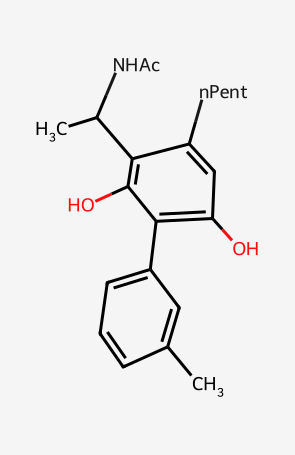 CCCCCc1cc(O)c(-c2cccc(C)c2)c(O)c1C(C)NC(C)=O